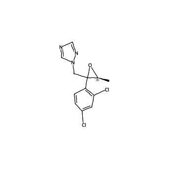 C[C@@H]1OC1(Cn1cncn1)c1ccc(Cl)cc1Cl